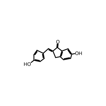 O=C1/C(=C/c2ccc(O)cc2)Cc2ccc(O)cc21